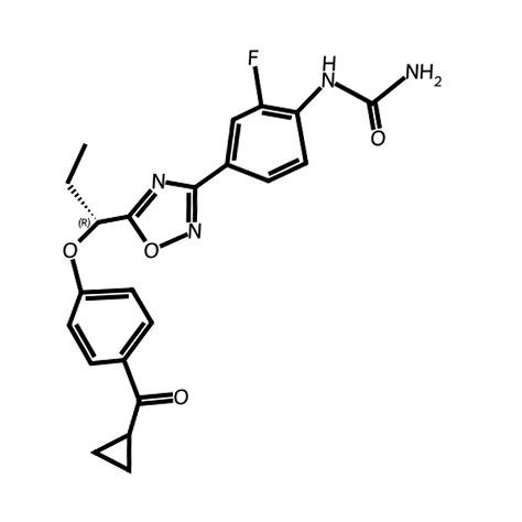 CC[C@@H](Oc1ccc(C(=O)C2CC2)cc1)c1nc(-c2ccc(NC(N)=O)c(F)c2)no1